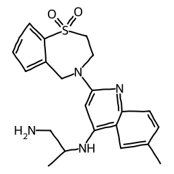 Cc1ccc2nc(N3CCS(=O)(=O)c4ccccc4C3)cc(NC(C)CN)c2c1